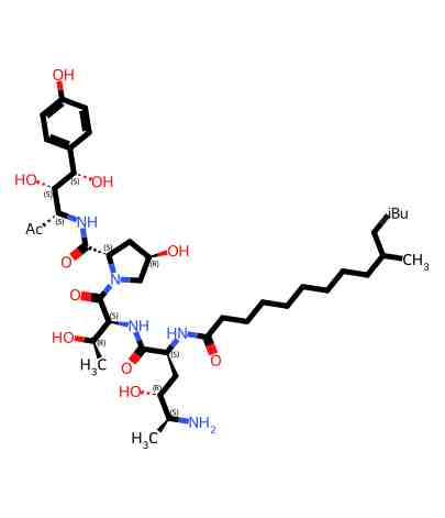 CCC(C)CC(C)CCCCCCCCC(=O)N[C@@H](C[C@@H](O)[C@H](C)N)C(=O)N[C@H](C(=O)N1C[C@H](O)C[C@H]1C(=O)N[C@H](C(C)=O)[C@H](O)[C@@H](O)c1ccc(O)cc1)[C@@H](C)O